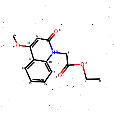 CCOC(=O)Cn1c(=O)cc(OC)c2ccccc21